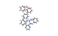 c1ccc2c(c1)-c1nc3ccccc3nc1-n1c3cc(-c4cccc5oc6ccccc6c45)ccc3c3cccc-2c31